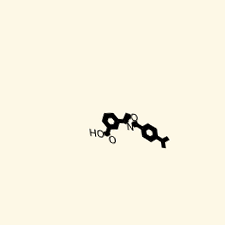 CC(C)c1ccc(-c2nc(-c3cccc(C(=O)O)c3)co2)cc1